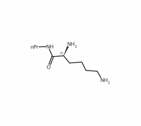 CCCNC(=O)[C@@H](N)CCCCN